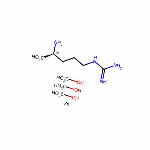 N=C(N)NCCC[C@H](N)C(=O)O.O=C(O)O.O=C(O)O.O=C(O)O.[Zn]